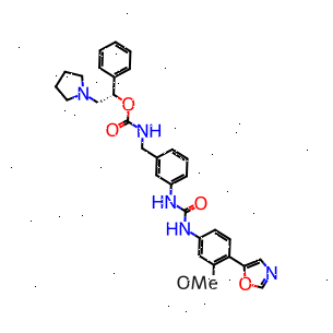 COc1cc(NC(=O)Nc2cccc(CNC(=O)O[C@H](CN3CCCC3)c3ccccc3)c2)ccc1-c1cnco1